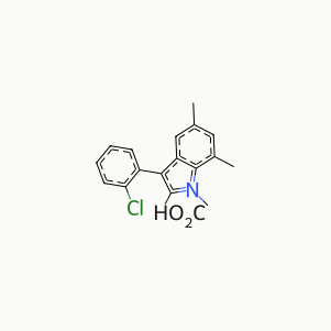 Cc1cc(C)c2c(c1)c(-c1ccccc1Cl)c(C(=O)O)n2C